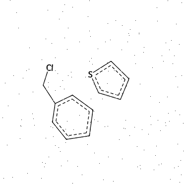 ClCc1ccccc1.c1ccsc1